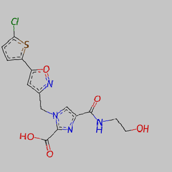 O=C(NCCO)c1cn(Cc2cc(-c3ccc(Cl)s3)on2)c(C(=O)O)n1